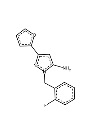 Nc1cc(-c2ccco2)nn1Cc1ccccc1F